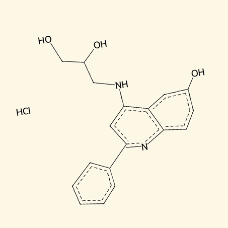 Cl.OCC(O)CNc1cc(-c2ccccc2)nc2ccc(O)cc12